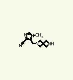 Cn1cnc(C#N)c1CN1CC2(CNC2)C1